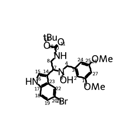 COc1cc(CN(O)C(CNC(=O)OC(C)(C)C)c2c[nH]c3ccc(Br)cc23)cc(OC)c1